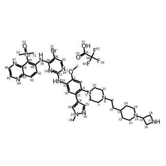 COc1cc(N2CCN(CCC3CCN(C4CNC4)CC3)CC2)c(-c2cnn(C)c2)cc1Nc1ncc(Br)c(Nc2ccc3nccnc3c2P(C)(C)=O)n1.O=C(O)C(F)(F)F